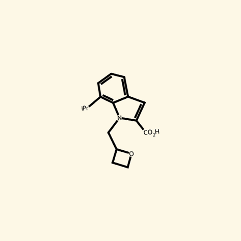 CC(C)c1cccc2cc(C(=O)O)n(CC3CCO3)c12